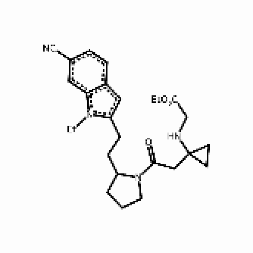 CCOC(=O)CNC1(CC(=O)N2CCCC2CCc2cc3ccc(C#N)cc3n2CC)CC1